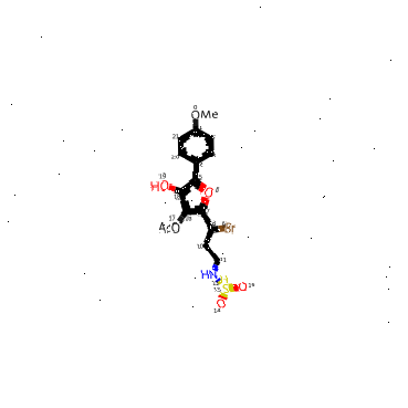 COc1ccc(-c2oc(C(Br)CCN[SH](=O)=O)c(OC(C)=O)c2O)cc1